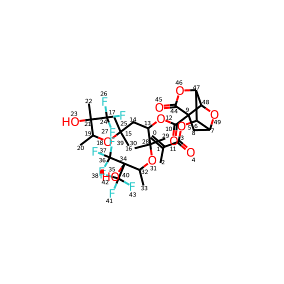 C=C(C)C(=O)OC1C2CC3(C(=O)OC(CC(C)(C)OC(C)C(C)(O)C(F)(F)F)C(C)(C)OC(C)C(O)(C(F)(F)F)C(F)(F)F)C(=O)OC1C3O2